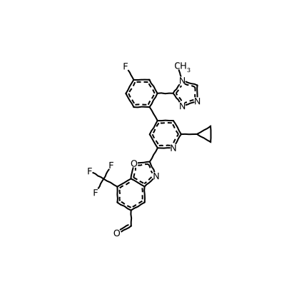 Cn1cnnc1-c1cc(F)ccc1-c1cc(-c2nc3cc(C=O)cc(C(F)(F)F)c3o2)nc(C2CC2)c1